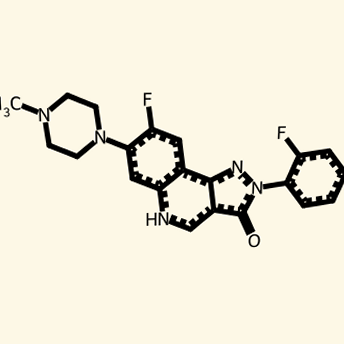 CN1CCN(c2cc3[nH]cc4c(=O)n(-c5ccccc5F)nc-4c3cc2F)CC1